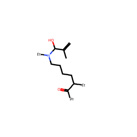 C=C(C)C(O)N(CC)CCCCC(CC)C(=O)C(C)C